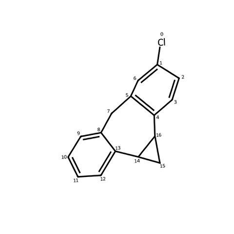 Clc1ccc2c(c1)Cc1ccccc1C1CC21